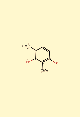 CCOC(=O)c1ccc(Br)c(OC)c1Br